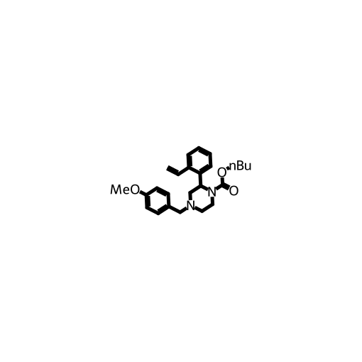 C=Cc1ccccc1C1CN(Cc2ccc(OC)cc2)CCN1C(=O)OCCCC